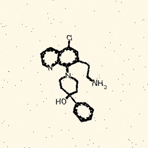 NCCc1cc(Cl)c2cccnc2c1N1CCC(O)(c2ccccc2)CC1